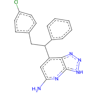 Nc1cc(C(Cc2ccc(Cl)cc2)c2ccccc2)c2nn[nH]c2n1